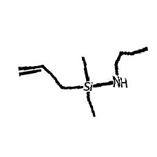 C=CC[Si](C)(C)NCC